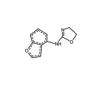 c1cc(NC2=NCCO2)c2ccoc2c1